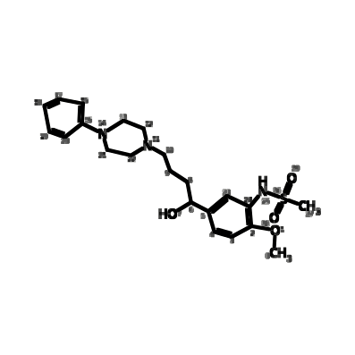 COc1ccc(C(O)CCCN2CCN(c3ccccc3)CC2)cc1NS(C)(=O)=O